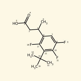 CC(CC(=O)O)c1cc(F)c(F)c(C(C)(C)C)c1F